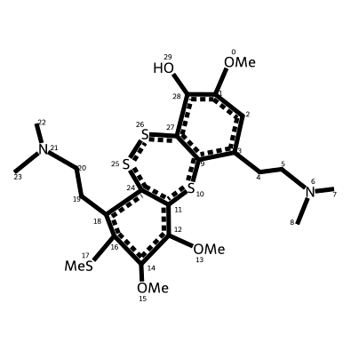 COc1cc(CCN(C)C)c2sc3c(OC)c(OC)c(SC)c(CCN(C)C)c3ssc2c1O